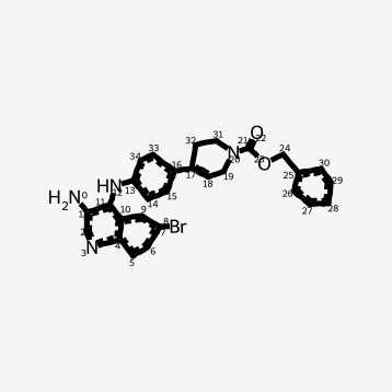 Nc1cnc2ccc(Br)cc2c1Nc1ccc(C2=CCN(C(=O)OCc3ccccc3)CC2)cc1